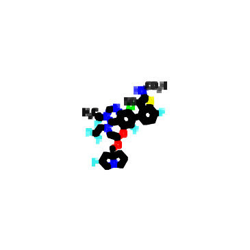 C=C(F)N1CN=c2c(Cl)c(-c3ccc(F)c4sc(NC(=O)O)c(C#N)c34)c(F)c3c2=C1N(CC(F)F)C=C(OC[C@@]12CCCN1C[C@H](F)C2)O3